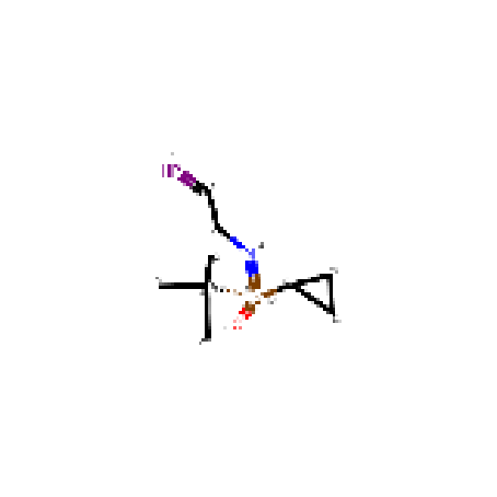 CC(C)(C)[S@](=O)(=NCC=P)C1CC1